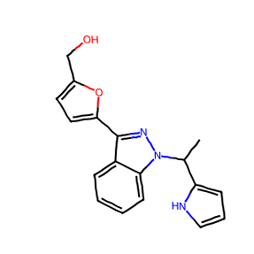 CC(c1ccc[nH]1)n1nc(-c2ccc(CO)o2)c2ccccc21